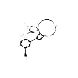 C[C@@H]1CCC[C@]2(N=C(N)N(C)O2)c2cc(-c3cccc(C#N)c3)ccc2OCCO1